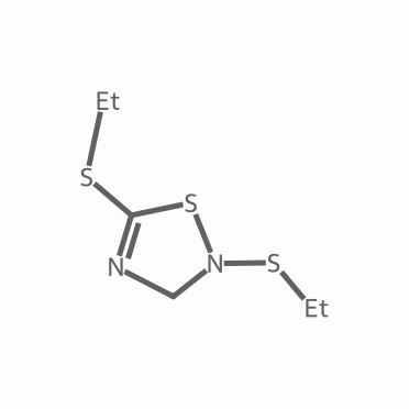 CCSC1=NCN(SCC)S1